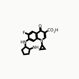 NC1CCCC1Nc1cc2c(cc1F)c(=O)c(C(=O)O)cn2C1CC1